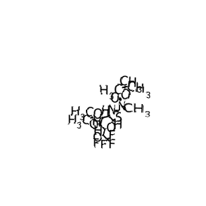 CN(C(=O)OC(C)(C)C)C1=N[C@@H]2[C@H]3OC(C)(C)O[C@@H]3[C@@H]([C@@H](OF)C(F)(F)F)O[C@@H]2S1